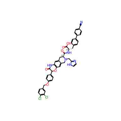 N#Cc1ccc(-c2ccc(C[C@H](NC(=O)[C@@H]3Cc4cc5c(cc4CN3Cc3ncc[nH]3)OC(c3ccc(OCc4ccc(Cl)c(Cl)c4)cc3)C(=O)N5)C(=O)O)cc2)cc1